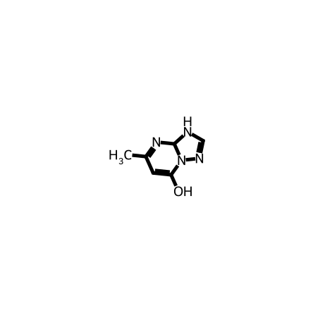 CC1=NC2NC=NN2C(O)=C1